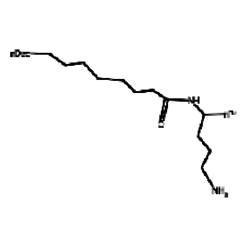 CCCCCCCCCCCCCCCCCC(=O)NC(CCC)CCCN